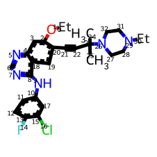 CCOc1cc2ncnc(Nc3ccc(F)c(Cl)c3)c2cc1C#CC(C)(C)N1CCN(CC)CC1